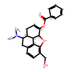 CCCN(C)C1Cc2ccc(CO)c3c2C2C(O3)C(OC(=O)c3ccccc3)=CCC21